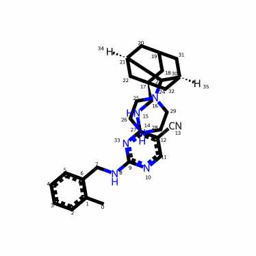 Cc1ccccc1CNc1ncc(C#N)c(NC[C@]23CC4C[C@H](C2)C(N2CCNCC2)[C@@H](C4)C3)n1